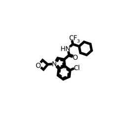 O=C(NC(C1CCCCC1)C(F)(F)F)c1cn(C2COC2)c2cccc(Cl)c12